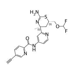 C#Cc1ccc(C(=O)Nc2ccnc([C@]3(C)C[C@@H](COC(F)F)SC(N)=N3)c2)nc1